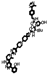 Cc1ncsc1-c1ccc(CNC(=O)[C@@H]2C[C@@H](O)CN2C(=O)[C@@H](NC(=O)N2CC3(CCC(N4CCC(c5cnc(N6CCc7[nH]c8nnc(-c9ccccc9O)cc8c7C6C)nc5)CC4)CC3)C2)C(C)(C)C)cc1